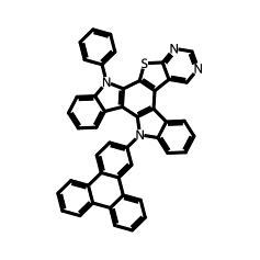 c1ccc(-n2c3ccccc3c3c2c2sc4ncncc4c2c2c4ccccc4n(-c4ccc5c6ccccc6c6ccccc6c5c4)c23)cc1